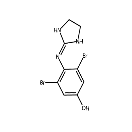 Oc1cc(Br)c(N=C2NCCN2)c(Br)c1